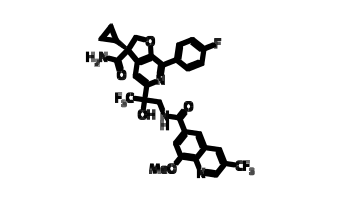 COc1cc(C(=O)NCC(O)(c2cc3c(c(-c4ccc(F)cc4)n2)OC[C@]3(C(N)=O)C2CC2)C(F)(F)F)cc2cc(C(F)(F)F)cnc12